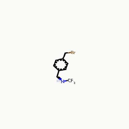 FC(F)(F)/N=C\c1ccc(CBr)cc1